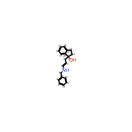 OC1(C/C=C/NCc2ccccc2)CCc2ccccc21